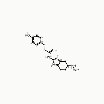 CCCNC1CCc2nc(NC(=O)CCc3ccc(O)cc3)sc2C1